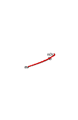 CCCCCCCC/C=C\CCCCCCCC(=O)OCCCCCCCCCCCCCCCCCCCCCCCCCCCCCCCCCCCC(C)CC